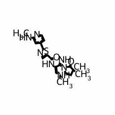 CN/C=C(/NC(=O)c1cnc(-c2ccnc(NC)c2)s1)C(=N)N1CCC(C)(C)C1=O